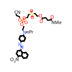 CCCN(CCOP(=O)(OCCC#N)OCCS(=O)(=O)CCOC(=O)CCC(=O)NC)c1ccc(/N=N/c2ccc([N+](=O)[O-])c3ccccc23)cc1